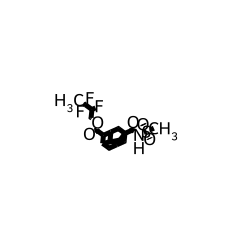 CC(F)(F)C(F)COC(=O)C1C2CC3CC1CC(C(=O)NS(C)(=O)=O)(C3)C2